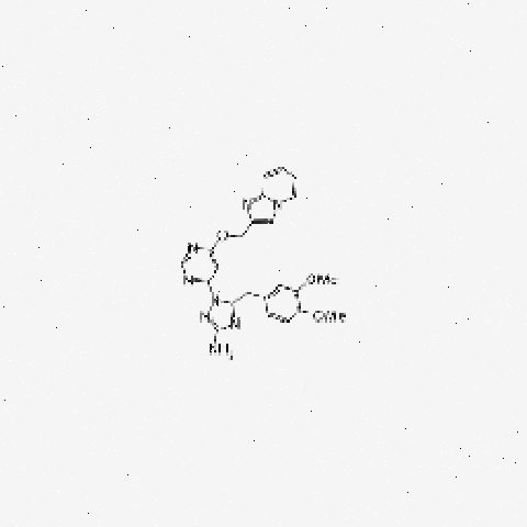 COc1ccc(Cc2nc(N)nn2-c2cc(OCc3cn4ccccc4n3)ncn2)cc1OC